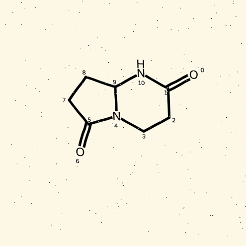 O=C1CCN2C(=O)CCC2N1